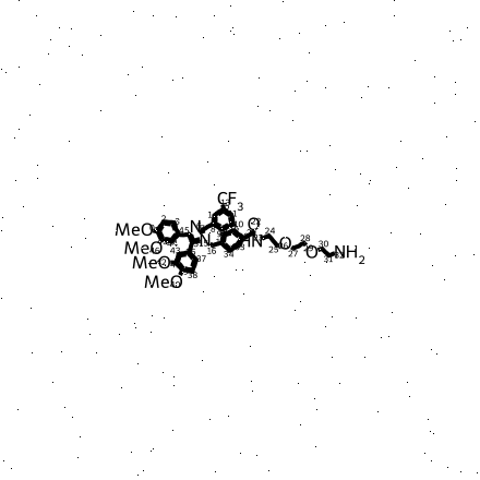 COc1ccc(-c2nc(-c3cccc(C(F)(F)F)c3)n(Cc3ccc(C(=O)NCCOCCOCCN)cc3)c2-c2ccc(OC)c(OC)c2)cc1OC